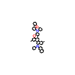 Cc1ccc2c(N(c3ccccc3)c3ccc4ccccc4c3)cc3c4cc(C)cc5c4c(cc3c2c1)-c1ccc(N(c2ccccc2)c2cccc3c2oc2ccccc23)cc1O5